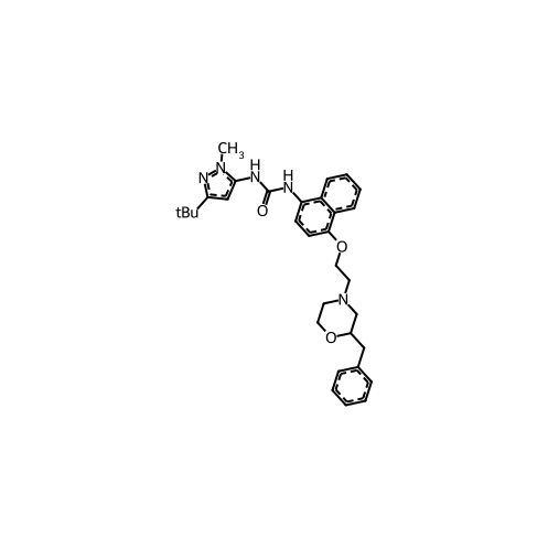 Cn1nc(C(C)(C)C)cc1NC(=O)Nc1ccc(OCCN2CCOC(Cc3ccccc3)C2)c2ccccc12